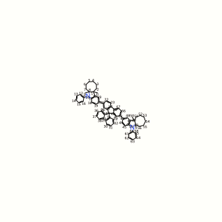 CC12CCCCCCC1(C)N(c1ccccc1)c1ccc(-c3ccc4c(c3)C(c3ccccc3)(c3ccccc3)c3cc(-c5ccc6c(c5)C5(C)CCCCCCC5(C)N6c5ccccc5)ccc3-4)cc12